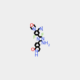 CN(C)Cc1cc(-c2nc(-c3ccc4c(c3)CCNC4=O)c(N)nc2F)c(F)cc1N1CCOCC1